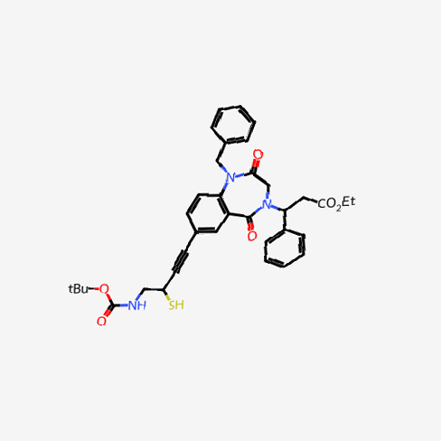 CCOC(=O)CC(c1ccccc1)N1CC(=O)N(Cc2ccccc2)c2ccc(C#CC(S)CNC(=O)OC(C)(C)C)cc2C1=O